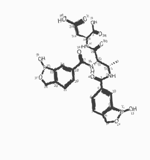 C[C@H](NC(=O)c1ccc2c(c1)B(O)OC2)[C@H](NC(=O)c1ccc2c(c1)B(O)OC2)C(=O)N[C@@H](CC(=O)O)C(=O)O